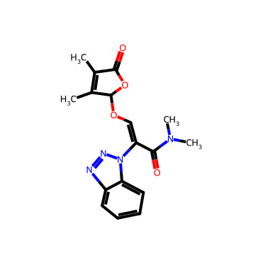 CC1=C(C)C(O/C=C(/C(=O)N(C)C)n2nnc3ccccc32)OC1=O